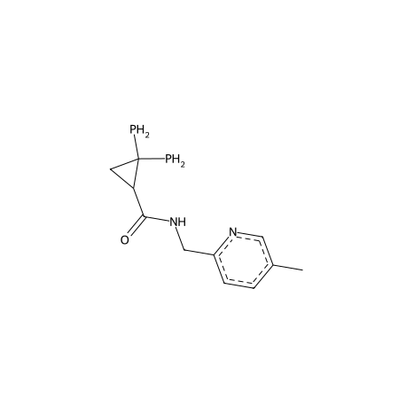 Cc1ccc(CNC(=O)C2CC2(P)P)nc1